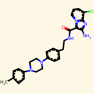 Cc1ccc(N2CCN(c3ccc(CCNC(=O)c4c(N)nc5c(Cl)cccn45)cc3)CC2)cc1